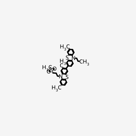 CCCN1c2ccc(C)cc2Sc2cc(-c3cc4c(cc3C)N(CCCS(C)(=O)=O)c3cc(C)ccc3S4)ccc21